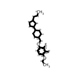 CCCC1CCC(C2CCC(COc3ccc(OCC)c(F)c3F)CC2)C1